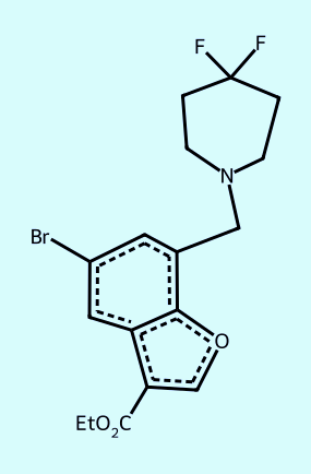 CCOC(=O)c1coc2c(CN3CCC(F)(F)CC3)cc(Br)cc12